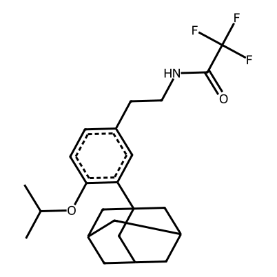 CC(C)Oc1ccc(CCNC(=O)C(F)(F)F)cc1C12CC3CC(CC(C3)C1)C2